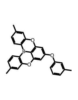 Cc1cccc(Oc2cc3c4c(c2)Oc2cc(C)ccc2B4c2ccc(C)cc2O3)c1